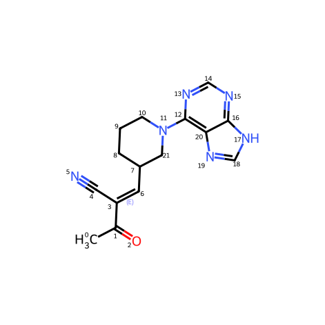 CC(=O)/C(C#N)=C/C1CCCN(c2ncnc3[nH]cnc23)C1